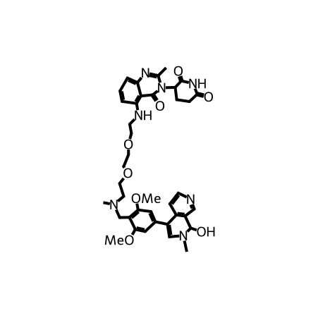 COc1cc(C2=CN(C)C(O)c3cnccc32)cc(OC)c1CN(C)CCOCCOCCNc1cccc2nc(C)n(C3CCC(=O)NC3=O)c(=O)c12